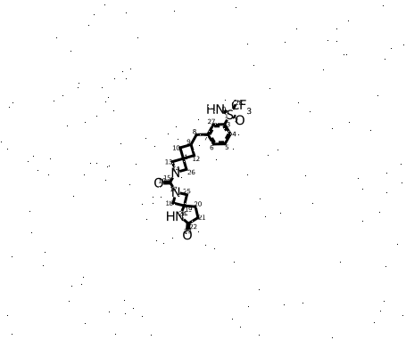 N=S(=O)(c1cccc(CC2CC3(C2)CN(C(=O)N2CC4(CCC(=O)N4)C2)C3)c1)C(F)(F)F